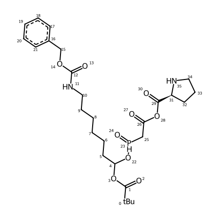 CC(C)(C)C(=O)OC(CCCCCCNC(=O)OCc1ccccc1)O[PH](=O)CC(=O)OC(=O)[C@@H]1CCCN1